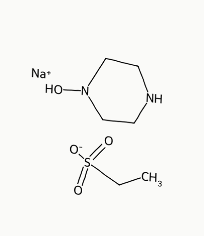 CCS(=O)(=O)[O-].ON1CCNCC1.[Na+]